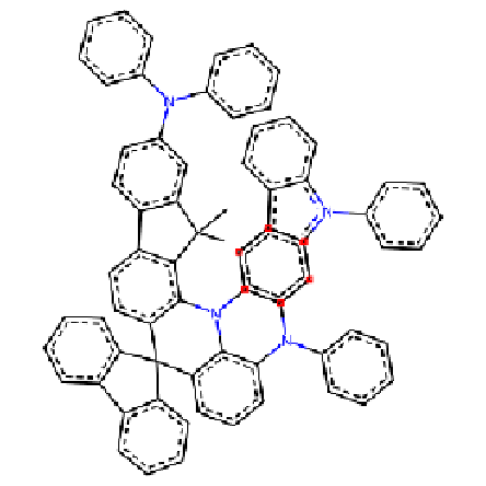 CC1(C)c2cc(N(c3ccccc3)c3ccccc3)ccc2-c2ccc3c(c21)N(c1ccccc1)c1c(N(c2ccccc2)c2ccc4c5ccccc5n(-c5ccccc5)c4c2)cccc1C31c2ccccc2-c2ccccc21